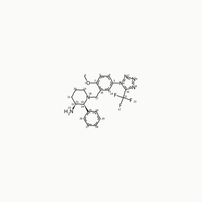 COc1ccc(-n2nnnc2C(F)(F)F)cc1CN1CCC[C@H](N)[C@@H]1c1ccccc1